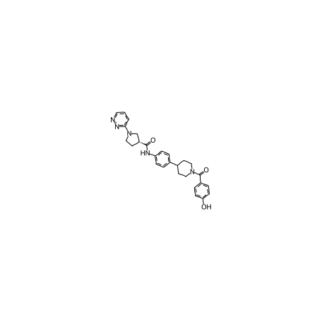 O=C(Nc1ccc(C2CCN(C(=O)c3ccc(O)cc3)CC2)cc1)[C@H]1CCN(c2cccnn2)C1